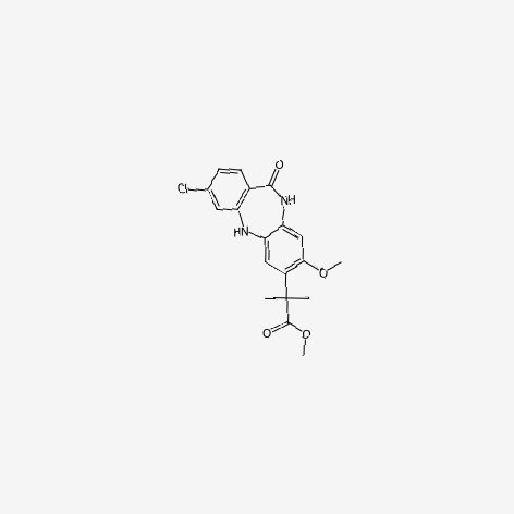 COC(=O)C(C)(C)c1cc2c(cc1OC)NC(=O)c1ccc(Cl)cc1N2